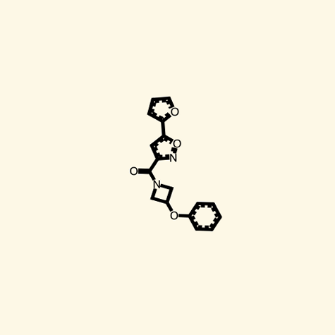 O=C(c1cc(-c2ccco2)on1)N1CC(Oc2ccccc2)C1